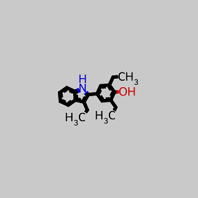 CCc1cc(-c2[nH]c3ccccc3c2CC)cc(CC)c1O